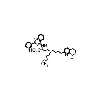 O=C(O)[C@H](CCN(CCCCc1ccc2c(n1)NCCC2)CCOCC(F)(F)F)Nc1nc(-c2cccnc2)nc2ccccc12